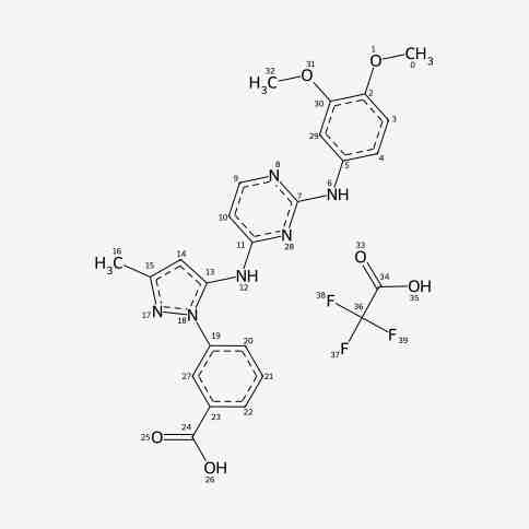 COc1ccc(Nc2nccc(Nc3cc(C)nn3-c3cccc(C(=O)O)c3)n2)cc1OC.O=C(O)C(F)(F)F